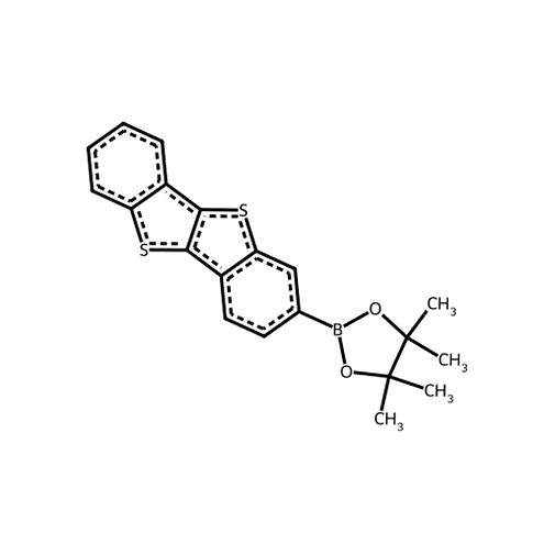 CC1(C)OB(c2ccc3c(c2)sc2c4ccccc4sc32)OC1(C)C